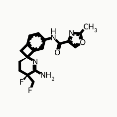 Cc1nc(C(=O)Nc2ccc3c(c2)[C@@]2(CC[C@@](F)(CF)C(N)=N2)C3)co1